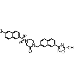 Cc1nc(-c2ccc3ccc(CN4CCN(S(=O)(=O)c5ccc6cc(Cl)ccc6c5)CC4=O)cc3c2)no1